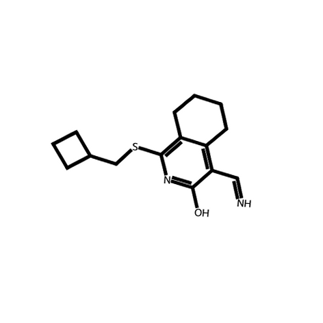 N=Cc1c(O)nc(SCC2CCC2)c2c1CCCC2